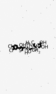 C=C(S/C(=C\C)C(=O)N1CC(O)C(O)C1)C(=O)NNCC1CSC(c2ccc(Cl)c(Cl)c2)=C1O